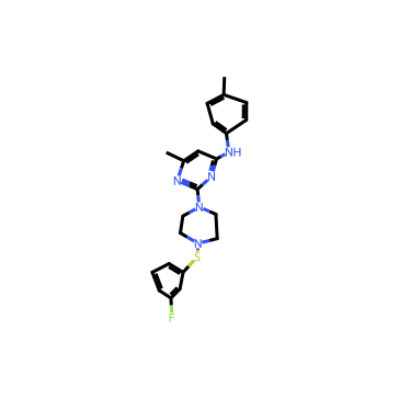 Cc1ccc(Nc2cc(C)nc(N3CCN(Sc4cccc(F)c4)CC3)n2)cc1